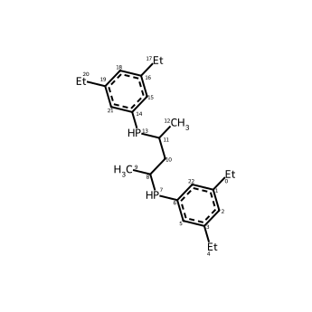 CCc1cc(CC)cc(PC(C)CC(C)Pc2cc(CC)cc(CC)c2)c1